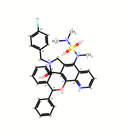 CN(C)S(=O)(=O)N(C)c1c2c(c(OC(c3ccccc3)c3ccccc3)c3ncccc13)C(=O)N(Cc1ccc(F)cc1)C2